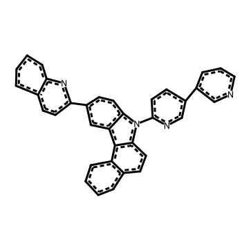 c1cncc(-c2ccc(-n3c4ccc(-c5ccc6ccccc6n5)cc4c4c5ccccc5ccc43)nc2)c1